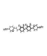 CCCC1CCC(CCc2ccc(-c3ccc(C4CCC(CCC)CO4)c(F)c3F)c(F)c2F)OC1